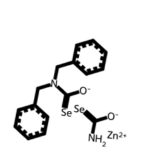 NC([O-])=[Se].[O-]C(=[Se])N(Cc1ccccc1)Cc1ccccc1.[Zn+2]